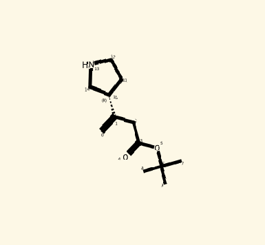 C=C(CC(=O)OC(C)(C)C)[C@H]1CCNC1